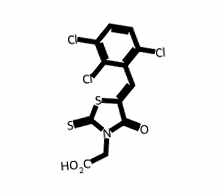 O=C(O)CN1C(=O)C(=Cc2c(Cl)ccc(Cl)c2Cl)SC1=S